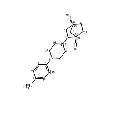 Cc1ccc(N2CCN([C@H]3C[C@@H]4CC[C@H]3C4)CC2)nc1